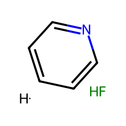 F.[H].c1ccncc1